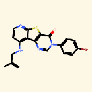 C=C(C)CNc1ccnc2sc3c(=O)n(-c4ccc(Br)cc4)cnc3c12